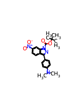 CN(C)c1ccc(-c2nn(C(=O)OC(C)(C)C)c3cc([N+](=O)[O-])ccc23)cc1